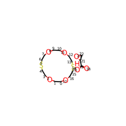 C1COCCSCCOCCOCCSCCO1.O=C(O)C1CO1